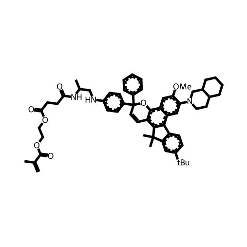 C=C(C)C(=O)OCCOC(=O)CCC(=O)NC(C)CNc1ccc(C2(c3ccccc3)C=Cc3c4c(c5cc(N6CCC7CCCCC7C6)c(OC)cc5c3O2)-c2ccc(C(C)(C)C)cc2C4(C)C)cc1